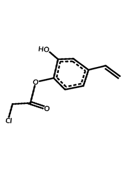 C=Cc1ccc(OC(=O)CCl)c(O)c1